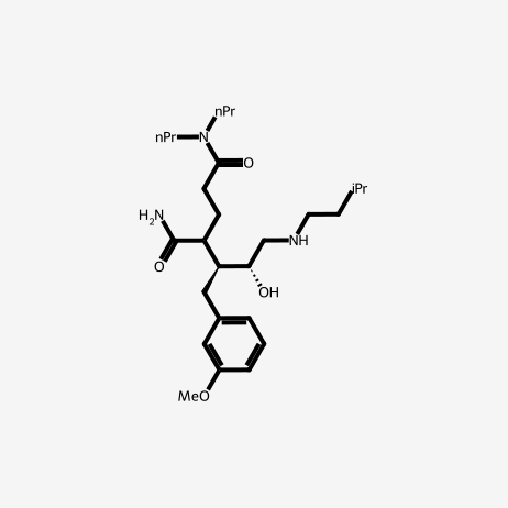 CCCN(CCC)C(=O)CCC(C(N)=O)[C@H](Cc1cccc(OC)c1)[C@@H](O)CNCCC(C)C